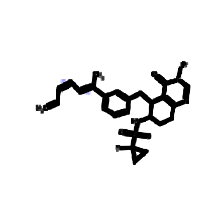 C=C/C=C\C=C(/C)c1cccc(CC2c3c(ncn(C(C)C)c3=O)CCC2NS(=O)(=O)C2(F)CC2)c1